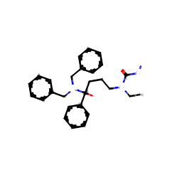 CC(C)CN(CCCC(O)(c1ccccc1)N(Cc1ccccc1)Cc1ccccc1)C(=O)NC(C)(C)C